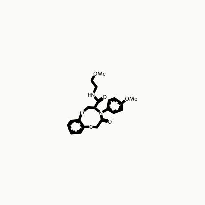 COCCNC(=O)C1COc2ccccc2CCC(=O)N1c1ccc(OC)cc1